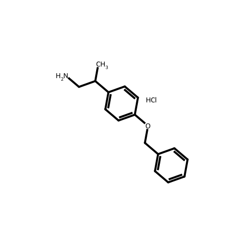 CC(CN)c1ccc(OCc2ccccc2)cc1.Cl